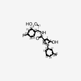 O=C(O)C[C@H](NC(=O)c1cc(O)n(-c2cccc(F)c2)n1)c1ccc(F)cc1